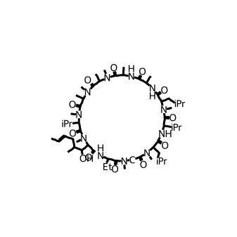 C/C=C/CC(C)C(O)C1C(=O)NC(CC)C(=O)N(C)CC(=O)N(C)C(CC(C)C)C(=O)NC(C(C)C)C(=O)N(C)C(CC(C)C)C(=O)NC(C)C(=O)NC(C)C(=O)N(C)C(C)C(=O)N(C)C(C)C(=O)N(C)C(C(C)C)C(=O)N1C